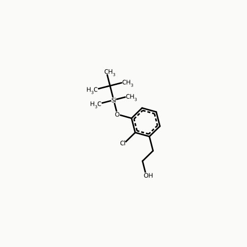 CC(C)(C)[Si](C)(C)Oc1cccc(CCO)c1Cl